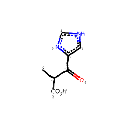 CC(C(=O)O)C(=O)c1c[nH]cn1